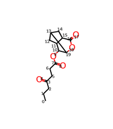 CCCC(=O)CCC(=O)OC1C2CC3CC2C(=O)OC31